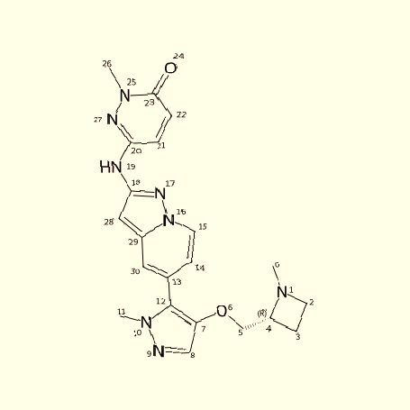 CN1CC[C@@H]1COc1cnn(C)c1-c1ccn2nc(Nc3ccc(=O)n(C)n3)cc2c1